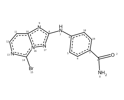 NC(=O)c1ccc(Nc2nc3ccnc(Br)n3n2)cc1